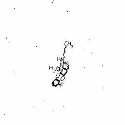 CCCCCCNc1ncc2cc(Oc3ccccc3F)c(=O)n(C)c2n1